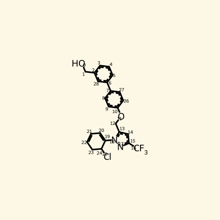 OCc1cccc(-c2ccc(OCc3cc(C(F)(F)F)nn3C3=CC=CCC3Cl)cc2)c1